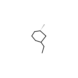 CCC1CCC[C@H](C)C1